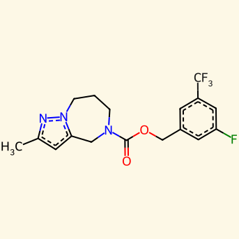 Cc1cc2n(n1)CCCN(C(=O)OCc1cc(F)cc(C(F)(F)F)c1)C2